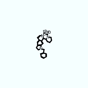 CC(C)(C)OC(=O)N1CCCCC1c1nccc2cc3c(cc12)N(Cc1ccccc1)CC3